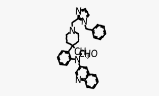 CC1(c2ccccc2N(C=O)c2cnc3ccccc3c2)CCN(Cc2nccn2Cc2ccccc2)CC1